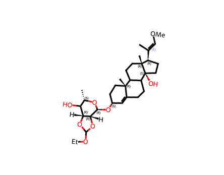 CCOC1O[C@H]2[C@H](O[C@@H]3C=C4CCC5C(CC[C@]6(C)[C@@H](/C(C)=C/OC)CC[C@]56O)[C@@]4(C)CC3)O[C@@H](C)C(O)[C@H]2O1